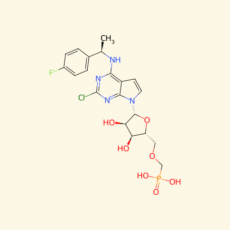 C[C@@H](Nc1nc(Cl)nc2c1ccn2[C@@H]1O[C@H](COCP(=O)(O)O)[C@@H](O)[C@H]1O)c1ccc(F)cc1